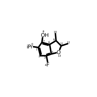 CC(C)c1cc(F)c2c(c1O)C(C)C(C)O2